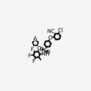 Cc1c(F)c(F)c(F)c(O[C@@H]2CCN(C)C2)c1NS(=O)(=O)c1ccc(Oc2cccc(Cl)c2C#N)cc1